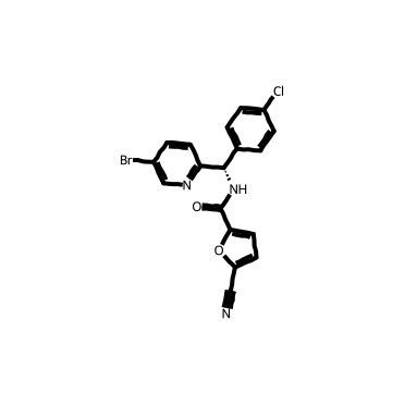 N#Cc1ccc(C(=O)N[C@@H](c2ccc(Cl)cc2)c2ccc(Br)cn2)o1